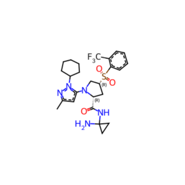 Cc1cc(N2C[C@H](S(=O)(=O)c3ccccc3C(F)(F)F)C[C@@H]2C(=O)NC2(N)CC2)n(C2CCCCC2)n1